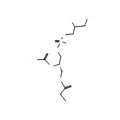 CCCCCCCCCCCC(=O)OC[C@H](COP(=O)(O)OCC(O)CO)OC(=O)CCCCCCCCCC